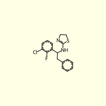 Fc1c(Cl)cccc1C(Cc1ccccc1)NC1=NCCS1